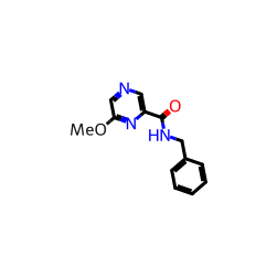 COc1cncc(C(=O)NCc2ccccc2)n1